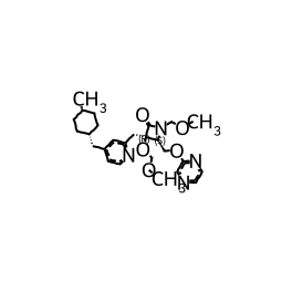 COCO[C@@]1(Cc2cc(C[C@H]3CC[C@H](C)CC3)ccn2)C(=O)N(COC)[C@H]1COc1cnccn1